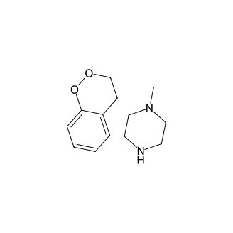 CN1CCNCC1.c1ccc2c(c1)CCOO2